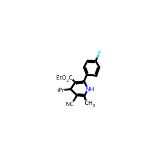 CCOC(=O)C1=C(c2ccc(F)cc2)NC(C)=C(C#N)C1C(C)C